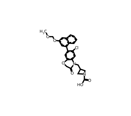 COCOc1cc(-c2cc3c(cc2Cl)N(CC2CN(C(=O)O)C2)C(=O)CO3)c2ccccc2c1